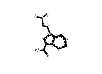 CCN(CC)CCn1cc(C(=O)C(F)(F)F)c2ccccc21